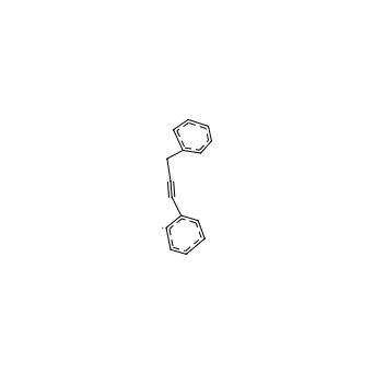 C(#Cc1[c]cccc1)Cc1ccccc1